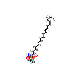 CC/C=C\C/C=C/C/C=C/CCCCCCCC(=O)NS(=O)(=O)C(F)(F)F